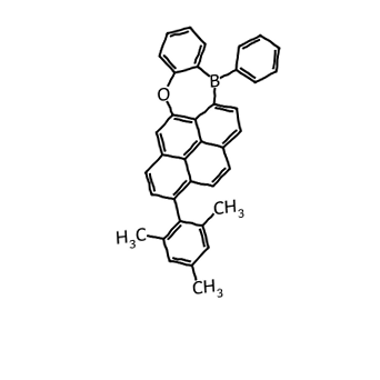 Cc1cc(C)c(-c2ccc3cc4c5c(ccc6ccc2c3c65)B(c2ccccc2)c2ccccc2O4)c(C)c1